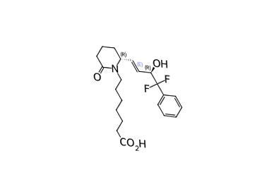 O=C(O)CCCCCCN1C(=O)CCC[C@@H]1/C=C/[C@@H](O)C(F)(F)c1ccccc1